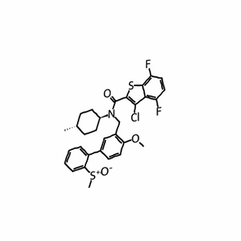 COc1ccc(-c2ccccc2[S+](C)[O-])cc1CN(C(=O)c1sc2c(F)ccc(F)c2c1Cl)[C@H]1CC[C@H](C)CC1